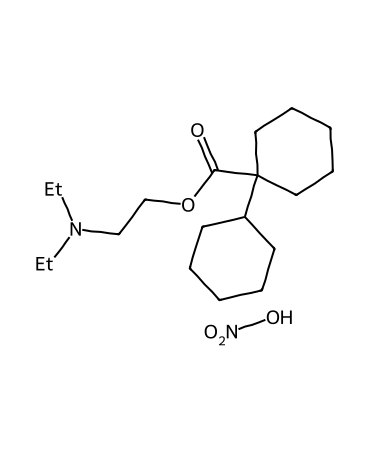 CCN(CC)CCOC(=O)C1(C2CCCCC2)CCCCC1.O=[N+]([O-])O